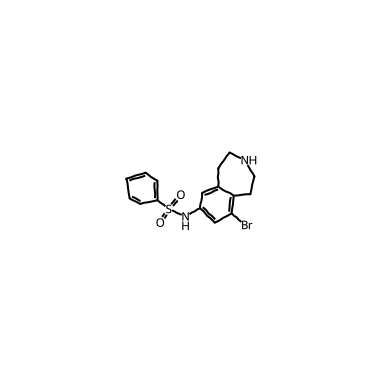 O=S(=O)(Nc1cc(Br)c2c(c1)CCNCC2)c1ccccc1